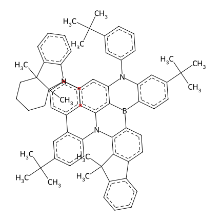 CC(C)(C)c1cccc(N2c3cc(C(C)(C)C)ccc3B3c4ccc5c(c4N(c4ccc(C(C)(C)C)cc4-c4ccccc4)c4cc(N6c7ccccc7C7(C)CCCCC67C)cc2c43)C(C)(C)c2ccccc2-5)c1